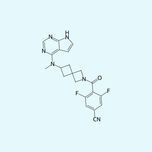 CN(c1ncnc2[nH]ccc12)C1CC2(C1)CN(C(=O)c1c(F)cc(C#N)cc1F)C2